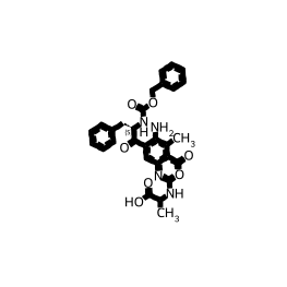 Cc1c(N)c(C(=O)[C@H](Cc2ccccc2)NC(=O)OCc2ccccc2)cc2nc(NC(C)C(=O)O)oc(=O)c12